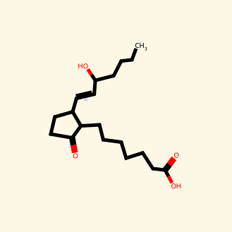 CCCCC(O)/C=C/C1CCC(=O)C1CCCCCCC(=O)O